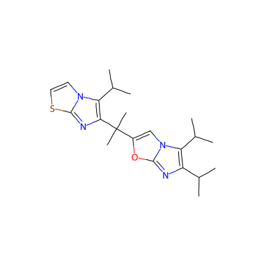 CC(C)c1nc2oc(C(C)(C)c3nc4sccn4c3C(C)C)cn2c1C(C)C